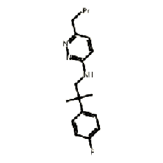 CC(C)Cc1ccc(NCC(C)(C)c2ccc(F)cc2)nn1